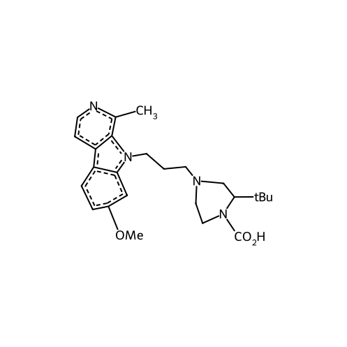 COc1ccc2c3ccnc(C)c3n(CCCN3CCN(C(=O)O)C(C(C)(C)C)C3)c2c1